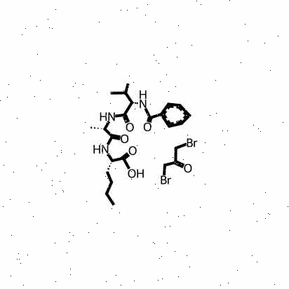 CCCC[C@H](NC(=O)[C@H](C)NC(=O)[C@@H](NC(=O)c1ccccc1)C(C)C)C(=O)O.O=C(CBr)CBr